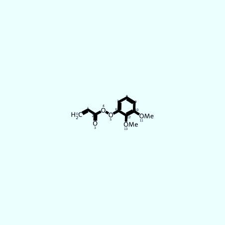 C=CC(=O)OOc1cccc(OC)c1OC